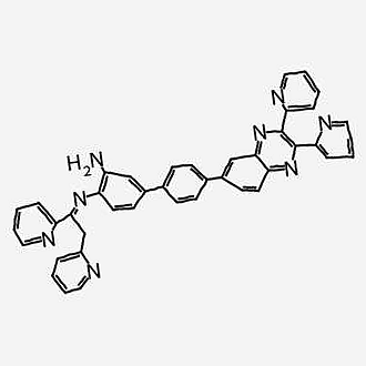 Nc1cc(-c2ccc(-c3ccc4nc(-c5ccccn5)c(-c5ccccn5)nc4c3)cc2)ccc1/N=C(\Cc1ccccn1)c1ccccn1